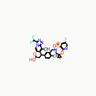 Cc1ccc(C(CC(=O)O)c2ccn3c(C(F)F)nnc3c2C)cc1CN1CC2(CC2)Oc2ncc(F)cc2S1(=O)=O